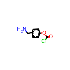 NCc1ccc(OC(=O)Cl)cc1